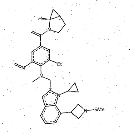 C=Nc1cc(C(=C)N2CCC3C[C@H]32)cc(CC)c1N(C)Cc1cc2cccc(C3CN(SC)C3)c2n1C1CC1